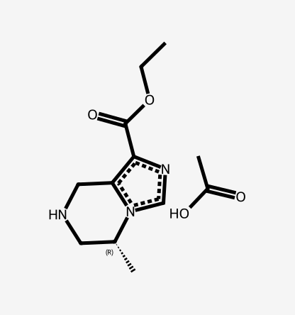 CC(=O)O.CCOC(=O)c1ncn2c1CNC[C@H]2C